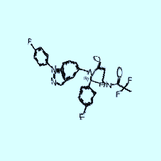 CC(F)(F)C(=O)N[C@H]1CC(=O)N(c2ccc3c(cnn3-c3ccc(F)cc3)c2)[C@@H]1c1ccc(F)cc1